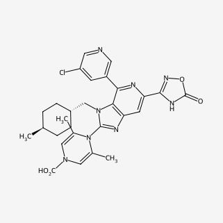 CC1=CN(C(=O)O)C=C(C)N1c1nc2cc(-c3noc(=O)[nH]3)nc(-c3cncc(Cl)c3)c2n1C[C@H]1CC[C@H](C)CC1